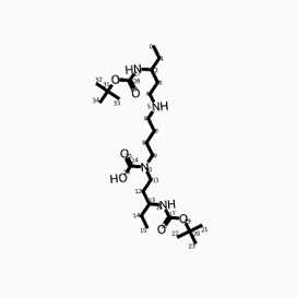 CCC(CCNCCCCN(CCC(CC)NC(=O)OC(C)(C)C)C(=O)O)NC(=O)OC(C)(C)C